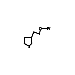 CC(C)OCCC1CCSC1